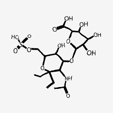 CCC1(CC)OC(COS(=O)(=O)O)C(O)C(OC2OC(C(=O)O)C(O)C(O)C2O)C1NC(C)=O